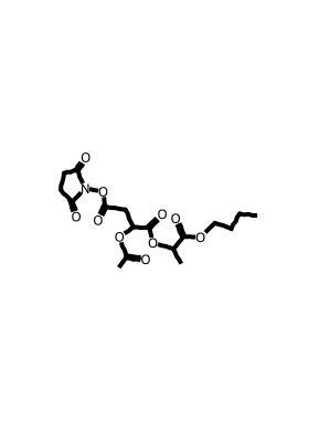 CCCCOC(=O)C(C)OC(=O)C(CC(=O)ON1C(=O)CCC1=O)OC(C)=O